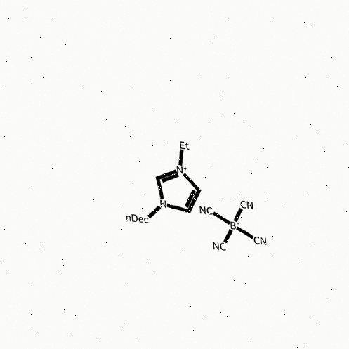 CCCCCCCCCCn1cc[n+](CC)c1.N#C[B-](C#N)(C#N)C#N